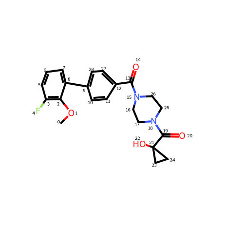 COc1c(F)cccc1-c1ccc(C(=O)N2CCN(C(=O)C3(O)CC3)CC2)cc1